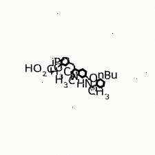 CCCCc1cccc([C@H](C)NC(=O)c2ccc3c(Cc4cccc(OC(C(=O)O)C(C)C)c4)c(C)n(C)c3c2)c1